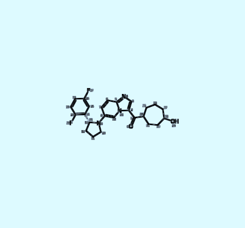 O=C(c1cnc2ccc(N3CCC[C@@H]3c3cc(F)ccc3F)cn12)C1CCCC(O)CC1